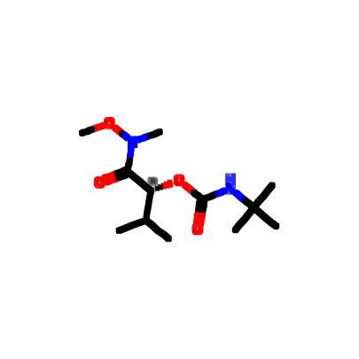 CON(C)C(=O)[C@H](OC(=O)NC(C)(C)C)C(C)C